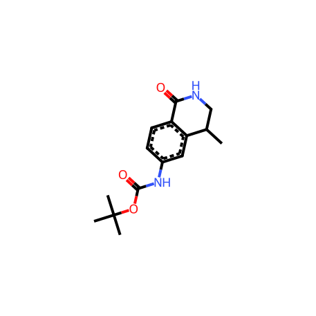 CC1CNC(=O)c2ccc(NC(=O)OC(C)(C)C)cc21